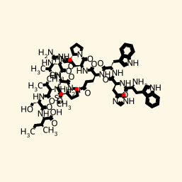 CC[C@H](C)[C@H](NC(=O)[C@H](CO)NC(=O)[C@@H](NC(=O)[C@@H]1CCCN1C(=O)[C@H](CCSC)NC(=O)[C@H](CC(C)C)NC(=O)[C@@H]1CCCN1C(=O)[C@H](CCCNC(=N)N)NC(=O)[C@H](CCC(N)=O)NC(=O)[C@H](Cc1c[nH]c2ccccc12)NC(=O)[C@H](Cc1c[nH]cn1)NC(=O)[C@@H](N)Cc1c[nH]c2ccccc12)C(C)C)C(=O)O